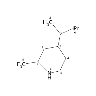 CC(C)C(C)C1CCNC(C(F)(F)F)C1